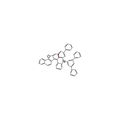 c1ccc(-c2cccc(N(c3cc(-c4ccccc4)cc(-c4ccccc4)c3)c3ccccc3-c3cccc4oc5c6ccccc6ccc5c34)c2)cc1